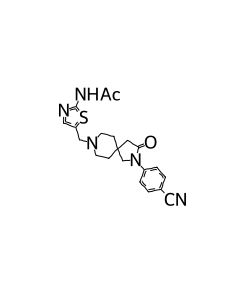 CC(=O)Nc1ncc(CN2CCC3(CC2)CC(=O)N(c2ccc(C#N)cc2)C3)s1